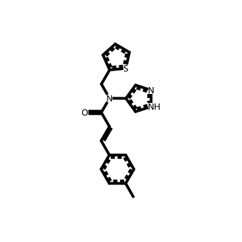 Cc1ccc(/C=C/C(=O)N(Cc2cccs2)c2cn[nH]c2)cc1